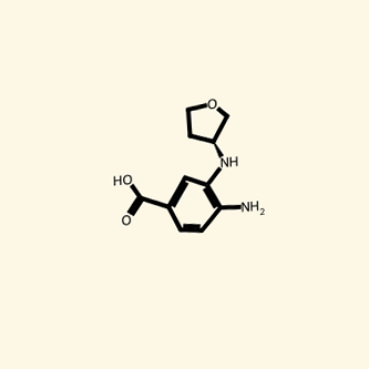 Nc1ccc(C(=O)O)cc1N[C@H]1CCOC1